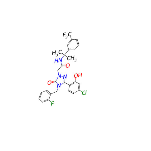 CC(C)(NC(=O)Cn1nc(-c2ccc(Cl)cc2O)n(Cc2ccccc2F)c1=O)c1cccc(C(F)(F)F)c1